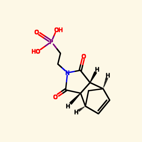 O=C1[C@@H]2[C@H](C(=O)N1CCP(=O)(O)O)[C@H]1C=C[C@@H]2C1